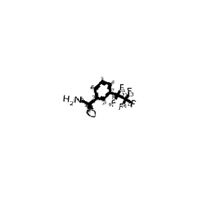 NC(=O)c1cccc(C(F)(F)C(F)(F)F)c1